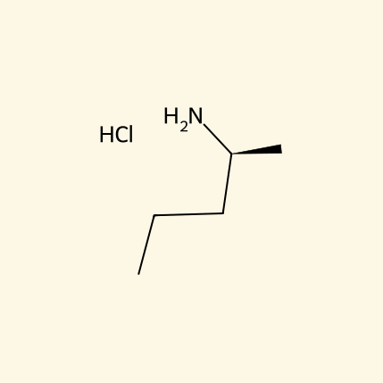 CCC[C@H](C)N.Cl